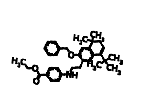 CCOC(=O)c1ccc(NCCc2cc3c(cc2OCc2ccccc2)C(C)(C)CC=C3C(C)(C)C)cc1